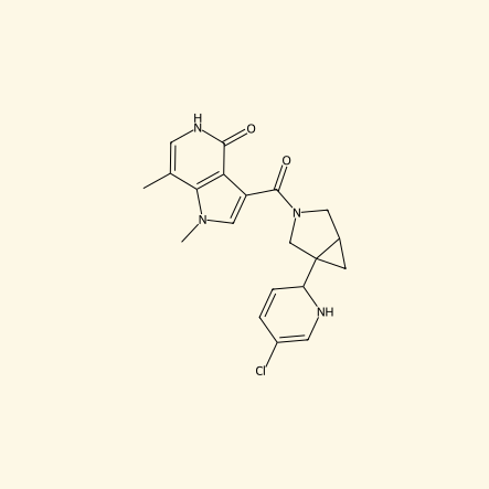 Cc1c[nH]c(=O)c2c(C(=O)N3CC4CC4(C4C=CC(Cl)=CN4)C3)cn(C)c12